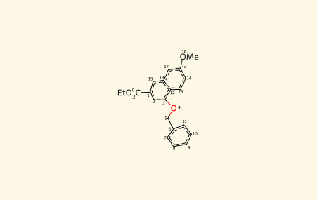 CCOC(=O)c1cc(OCc2ccccc2)c2ccc(OC)cc2c1